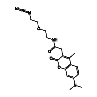 Cc1c(CC(=O)NCCOCCN=[N+]=[N-])c(=O)oc2cc(N(C)C)ccc12